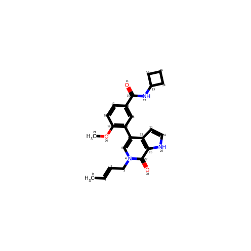 CC=CCn1cc(-c2cc(C(=O)NC3CCC3)ccc2OC)c2cc[nH]c2c1=O